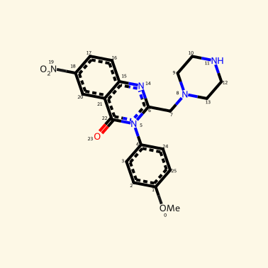 COc1ccc(-n2c(CN3CCNCC3)nc3ccc([N+](=O)[O-])cc3c2=O)cc1